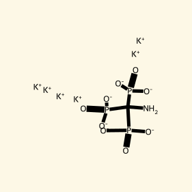 NC(P(=O)([O-])[O-])(P(=O)([O-])[O-])P(=O)([O-])[O-].[K+].[K+].[K+].[K+].[K+].[K+]